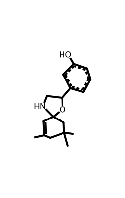 CC1=CC2(CC(C)(C)C1)NCC(c1cccc(O)c1)O2